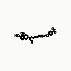 CCCN(CCCCCCNCCOc1ccc(S(C)(=O)=O)cc1)[C@H]1CCc2c(ccc(O)c2O)C1